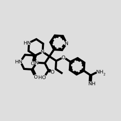 CCC(Oc1ccc(C(=N)N)cc1)C(c1cccnc1)(C(C(=O)O)N1CCNCC1=O)N1CCNCC1=O